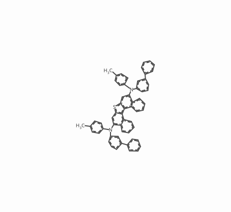 Cc1ccc(N(c2cccc(-c3ccccc3)c2)c2cc3sc4cc(N(c5ccc(C)cc5)c5cccc(-c6ccccc6)c5)c5ccccc5c4c3c3ccccc23)cc1